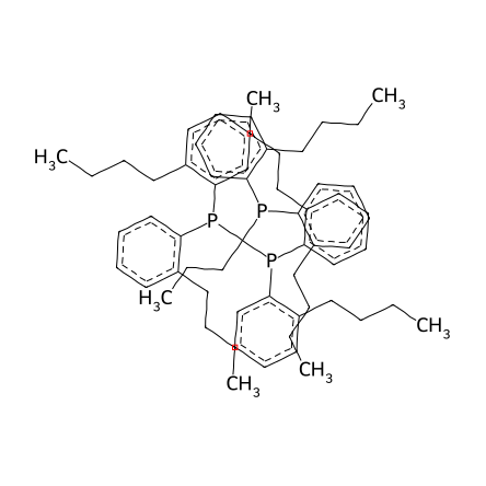 CCCCc1ccccc1P(c1ccccc1CCCC)C(CCC)(P(c1ccccc1CCCC)c1ccccc1CCCC)P(c1ccccc1CCCC)c1ccccc1CCCC